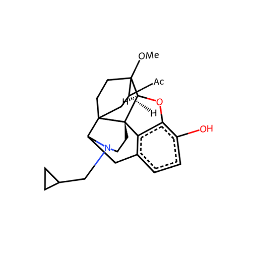 COC12CCC3(C[C@@H]1C(C)=O)C1Cc4ccc(O)c5c4[C@@]3(CCN1CC1CC1)[C@@H]2O5